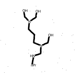 CCCNCN(CO)CCCN(CO)CO